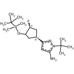 CC(C)(C)n1nc([C@H]2CC(O[Si](C)(C)C(C)(C)C)[C@@H](F)C2)cc1N